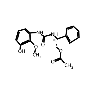 COc1c(O)cccc1NC(=O)N[C@@H](COC(C)=O)c1ccccc1